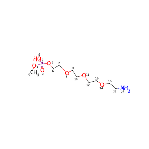 COP(=O)(O)OCCOCCOCCOCCN